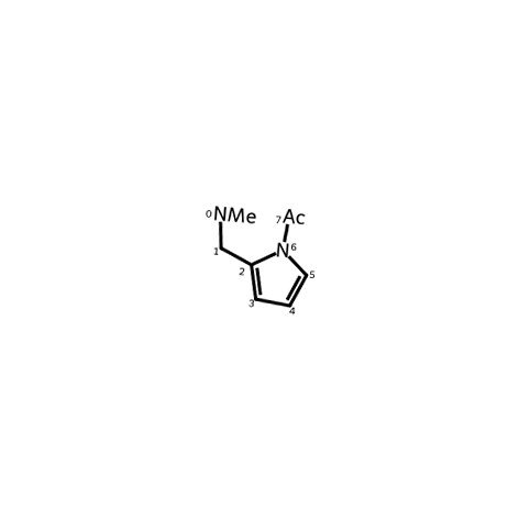 CNCc1cccn1C(C)=O